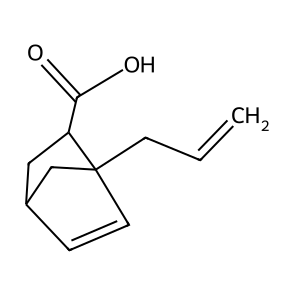 C=CCC12C=CC(CC1C(=O)O)C2